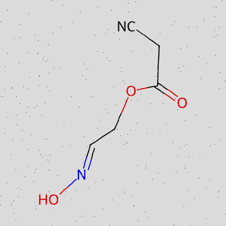 N#CCC(=O)OCC=NO